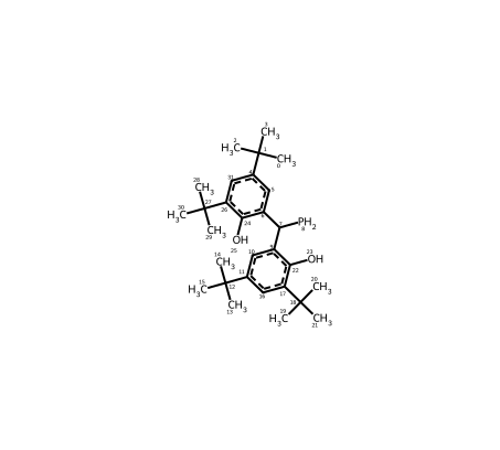 CC(C)(C)c1cc(C(P)c2cc(C(C)(C)C)cc(C(C)(C)C)c2O)c(O)c(C(C)(C)C)c1